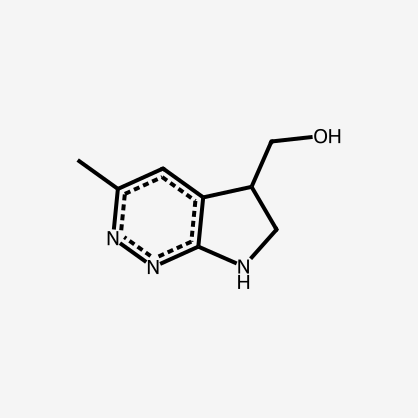 Cc1cc2c(nn1)NCC2CO